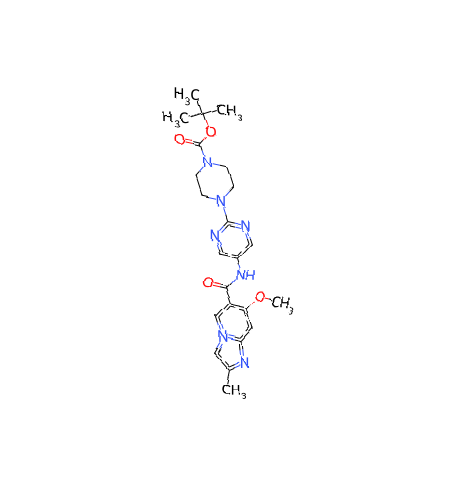 COc1cc2nc(C)cn2cc1C(=O)Nc1cnc(N2CCN(C(=O)OC(C)(C)C)CC2)nc1